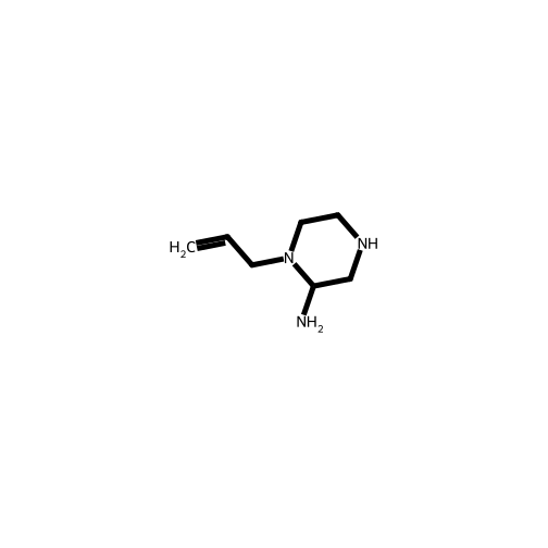 C=CCN1CCNCC1N